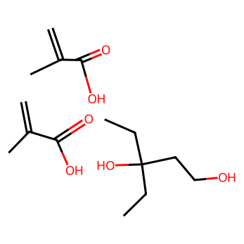 C=C(C)C(=O)O.C=C(C)C(=O)O.CCC(O)(CC)CCO